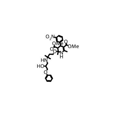 COC(=O)C1=C(C)NC(C)(OCCC(C)(C)NCC(O)COc2ccccc2)C(C(=O)OC)C1c1cccc([N+](=O)[O-])c1